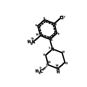 C[C@@H]1CN(c2cc(Cl)ccc2N)CCN1